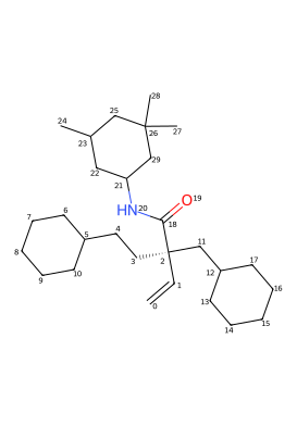 C=C[C@](CCC1CCCCC1)(CC1CCCCC1)C(=O)NC1CC(C)CC(C)(C)C1